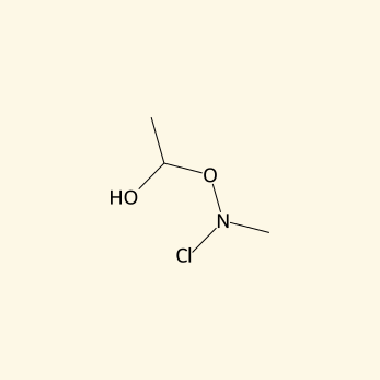 CC(O)ON(C)Cl